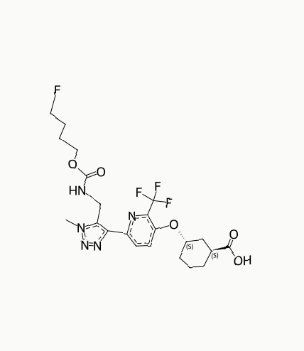 Cn1nnc(-c2ccc(O[C@H]3CCC[C@H](C(=O)O)C3)c(C(F)(F)F)n2)c1CNC(=O)OCCCCF